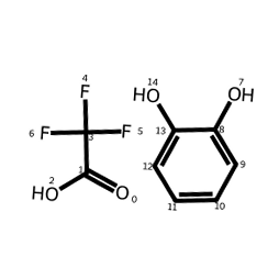 O=C(O)C(F)(F)F.Oc1ccccc1O